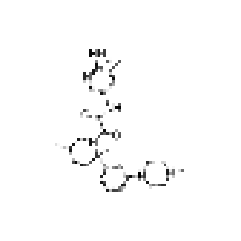 Cc1cc(NC(=O)C(=O)N2C[C@@H](C)CCC2(C)c2cccc(N3CCN(C)CC3)c2)cnc1N